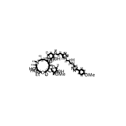 CC[C@H]1OC(=O)[C@H](C)[C@@H](C2C[C@@](C)(OC)[C@@H](O)[C@H](C)O2)[C@H](C)[C@@H](O[C@@H]2O[C@H](C)C[C@H](N(C)CCc3cn(CCCNc4nnc(-c5ccc(OC)cc5)s4)nn3)[C@H]2O)[C@](C)(O)C[C@@H](C)CN(C)[C@H](C)[C@@H](O)[C@]1(C)O